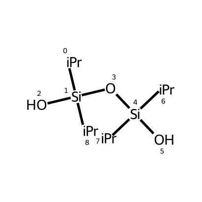 CC(C)[Si](O)(O[Si](O)(C(C)C)C(C)C)C(C)C